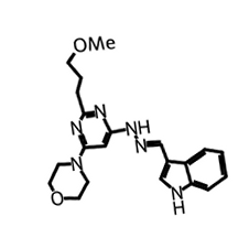 COCCCc1nc(N/N=C/c2c[nH]c3ccccc23)cc(N2CCOCC2)n1